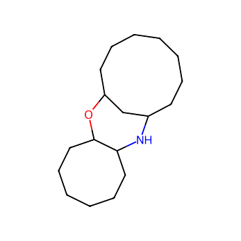 C1CCCC2CC(CCC1)OC1CCCCCCC1N2